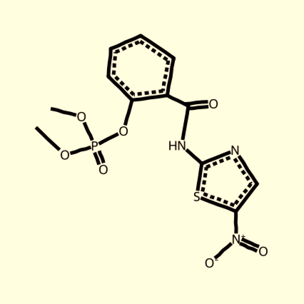 COP(=O)(OC)Oc1ccccc1C(=O)Nc1ncc([N+](=O)[O-])s1